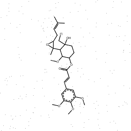 COc1cc(C=CC(=O)OC2CCC(O)(CCl)C(C3(C)OC3CC=C(C)C)C2OC)cc(OC)c1OC